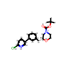 CC(C)(C)OC(=O)N1CCO[C@H](Cc2cccc(-c3ccc(Cl)nc3)c2)C1